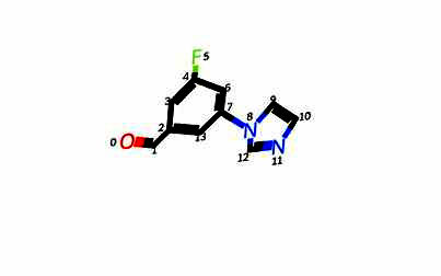 O=Cc1cc(F)cc(-n2ccnc2)c1